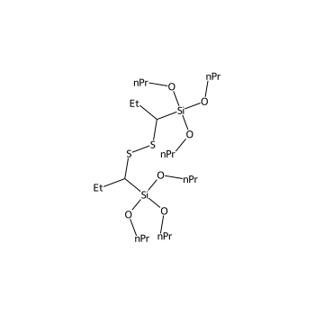 CCCO[Si](OCCC)(OCCC)C(CC)SSC(CC)[Si](OCCC)(OCCC)OCCC